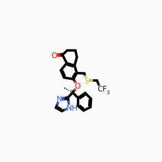 C[C@](Oc1ccc2c(c1CSCC(F)(F)F)CCCC2=O)(c1ccccc1)c1ncc[nH]1